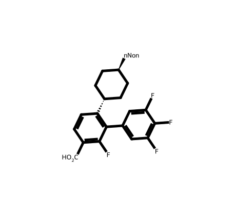 CCCCCCCCC[C@H]1CC[C@H](c2ccc(C(=O)O)c(F)c2-c2cc(F)c(F)c(F)c2)CC1